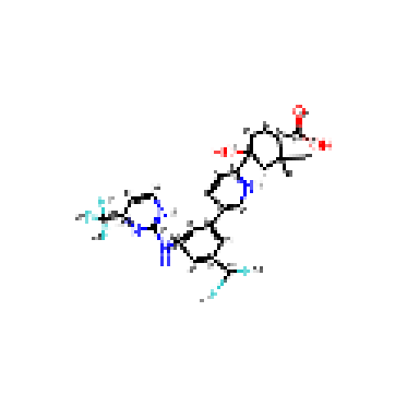 CC1(C)C[C@](O)(c2ccc(-c3cc(Nc4nccc(C(F)(F)F)n4)cc(C(F)F)c3)cn2)CC[C@H]1C(=O)O